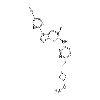 COC1CN(CCc2ccc(Nc3cc4ncn(-c5ccc(C#N)cn5)c4cc3F)nn2)C1